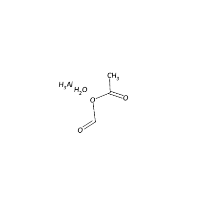 CC(=O)OC=O.O.[AlH3]